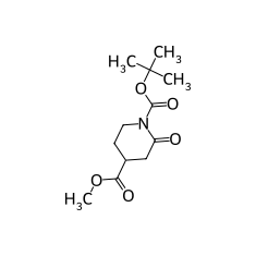 COC(=O)C1CCN(C(=O)OC(C)(C)C)C(=O)C1